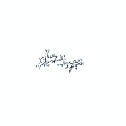 CCC[C@]1(C)CCC[C@H](N(c2cnc(-c3ccc(-c4cc(F)nc(OC(S)(S)S)c4)cc3O)nn2)C2CC2)[C@@H]1F